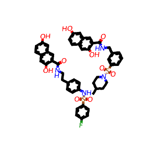 CC1CCN(S(=O)(=O)c2cccc(CNC(=O)c3cc4cc(O)ccc4cc3O)c2)CC1.O=C(NCCc1ccc(NS(=O)(=O)c2ccc(F)cc2)cc1)c1cc2cc(O)ccc2cc1O